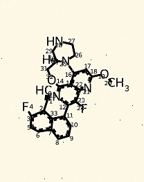 C#Cc1c(F)ccc2cccc(-c3nc4c5c(cc(OC)nc5c3F)N3CCNC[C@H]3CO4)c12